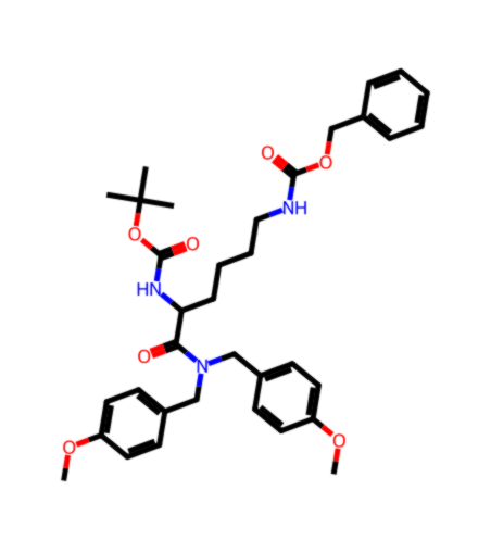 COc1ccc(CN(Cc2ccc(OC)cc2)C(=O)C(CCCCNC(=O)OCc2ccccc2)NC(=O)OC(C)(C)C)cc1